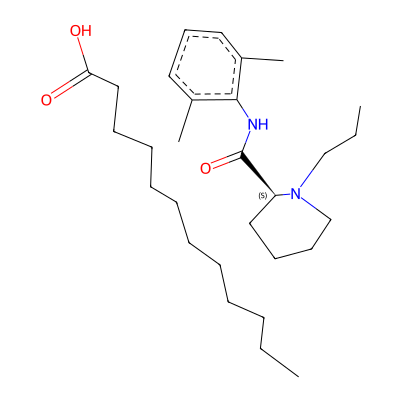 CCCCCCCCCCCC(=O)O.CCCN1CCCC[C@H]1C(=O)Nc1c(C)cccc1C